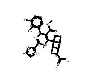 COC(=O)C1=C(C23C4C5C2C2C3C4C52C(=O)O)NC(c2nccs2)=NC1c1cccc(F)c1Br